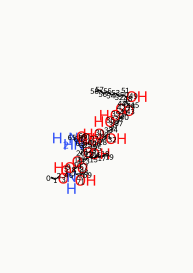 C=CCOC(=O)N[C@@H]1[C@H](O)[C@H](O[C@@H](/C=C/C=C/C=C/C)C[C@@H]2O[C@](O)(C[C@@H](O)C[C@@H](O)[C@H](O)CC[C@@H](O)C[C@@H](O)CC(=O)O[C@@H](C)[C@H](C)[C@H](O)[C@@H](C)/C=C/C=C/C=C/C)C[C@H](O)[C@H]2NC(N)=O)O[C@H](C)[C@H]1O